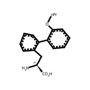 CCCOc1ccccc1-c1ccccc1C[C@H](N)C(=O)O